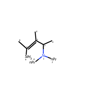 CCCN(CCC)C(C)C(C)=C(C)[SiH3]